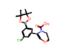 CC1(C)OB(c2cc(Cl)cc(C3=COCCN3C(=O)O)c2)OC1(C)C